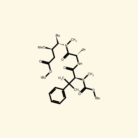 CC[C@H](C)[C@@H]([C@@H](CC(=O)OC(C)(C)C)OC)N(C)C(=O)[C@@H](NC(=O)[C@@H](N(C)C(=O)OC(C)(C)C)C(C)(C)c1ccccc1)C(C)C